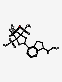 CS(=O)(=O)C1(S(C)(=O)=O)OB(c2cccc3c2CCC3NC(=O)O)OC1(S(C)(=O)=O)S(C)(=O)=O